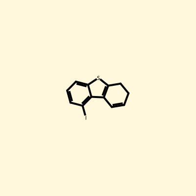 Ic1cccc2sc3c(c12)C=CCC3